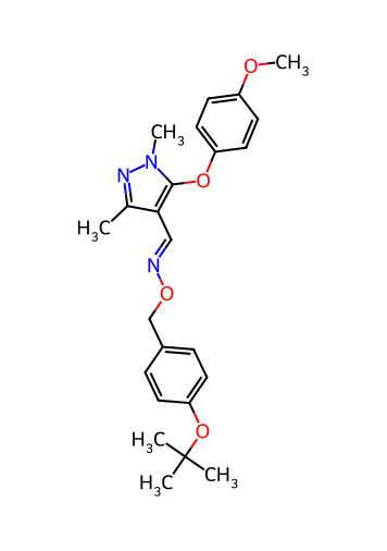 COc1ccc(Oc2c(C=NOCc3ccc(OC(C)(C)C)cc3)c(C)nn2C)cc1